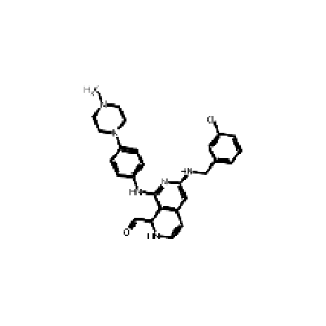 CN1CCN(c2ccc(Nc3nc(NCc4cccc(Cl)c4)cc4c3C(C=O)NC=C4)cc2)CC1